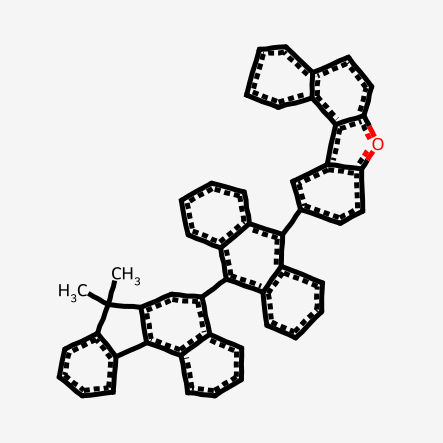 CC1(C)c2ccccc2-c2c1cc(-c1c3ccccc3c(-c3ccc4oc5ccc6ccccc6c5c4c3)c3ccccc13)c1ccccc21